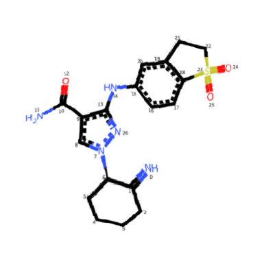 N=C1CCCC[C@H]1n1cc(C(N)=O)c(Nc2ccc3c(c2)CCS3(=O)=O)n1